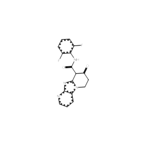 O=C1CCn2c(nc3ncccc32)C1C(=O)Nc1c(F)cccc1F